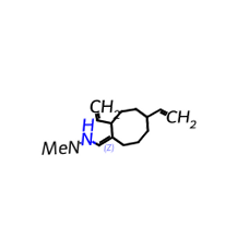 C=CC1CCC/C(=C/NNC)C(C=C)CC1